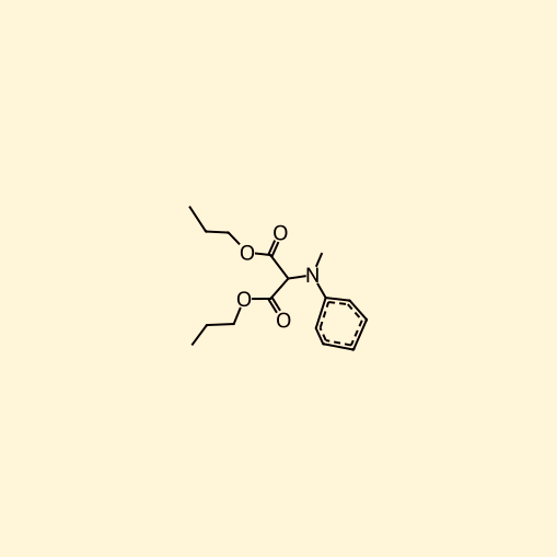 CCCOC(=O)C(C(=O)OCCC)N(C)c1ccccc1